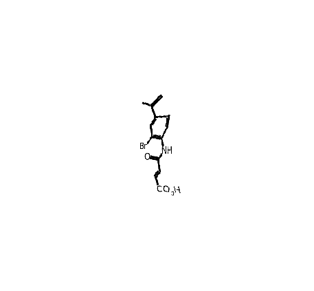 C=C(C)c1ccc(NC(=O)C=CC(=O)O)c(Br)c1